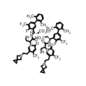 CCOC(=O)C[C@H](NC(=O)C(CC(C)C)n1cc(CCN2CC3(CC3)C2)c(C(F)(F)F)cc1=O)c1cc(-c2c(C)cccc2C)cc(C(F)(F)F)c1F.Cc1cccc(C)c1-c1cc([C@H](CC(=O)O)NC(=O)C(CC(C)C)n2cc(CCN3CC4(CC4)C3)c(C(F)(F)F)cc2=O)c(F)c(C(F)(F)F)c1